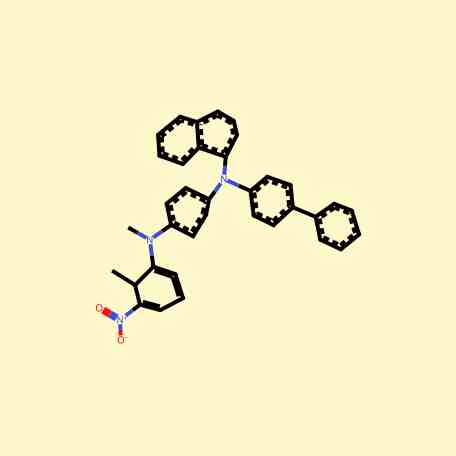 CC1C(N(C)c2ccc(N(c3ccc(-c4ccccc4)cc3)c3cccc4ccccc34)cc2)=C=CC=C1[N+](=O)[O-]